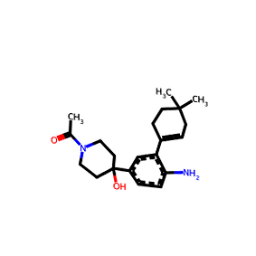 CC(=O)N1CCC(O)(c2ccc(N)c(C3=CCC(C)(C)CC3)c2)CC1